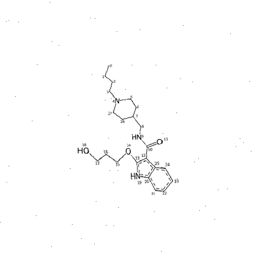 CCCCN1CCC(CNC(=O)c2c(OCCCO)[nH]c3ccccc23)CC1